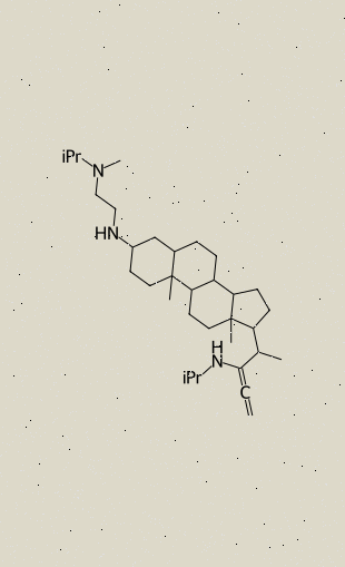 C=C=C(NC(C)C)C(C)C1CCC2C3CCC4CC(NCCN(C)C(C)C)CCC4(C)C3CCC12C